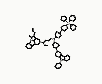 C=C/C=c1\c(=C)n2c3ccccc3c3cc(/C(C=C)=C/C=C/N(c4ccc(-c5ccc([Si](c6ccccc6)(c6ccccc6)c6ccccc6)cc5)cc4)c4ccc(-c5ccc6c(c5)c5ccccc5n6-c5ccccc5)cc4)cc1c32